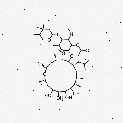 CO[C@@H]1[C@@H](O[C@@H]2O[C@@H](C)C(O[C@H]3CC(C)(C)C(C)[C@@H](C)O3)C(N(C)C)C2OC(C)=O)[C@@H](CC(C)C)C[C@@H](C)[C@@H](C)C(O)C(O)C(O)C(O)C[C@@H](C)OC(=O)C[C@H]1C